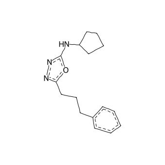 c1ccc(CCCc2nnc(NC3CCCC3)o2)cc1